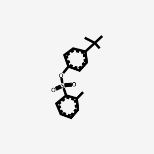 Cc1ccccc1S(=O)(=O)Oc1ccc(C(C)(C)C)cc1